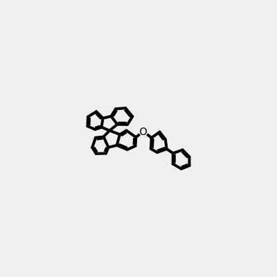 c1ccc(-c2ccc(Oc3ccc4c(c3)C3(c5ccccc5-c5ccccc53)c3ccccc3-4)cc2)cc1